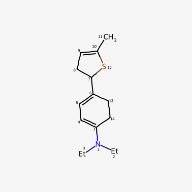 CCN(CC)C1=CC=C(C2CC=C(C)S2)CC1